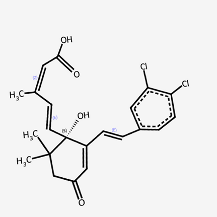 CC(=C/C(=O)O)/C=C/[C@@]1(O)C(/C=C/c2ccc(Cl)c(Cl)c2)=CC(=O)CC1(C)C